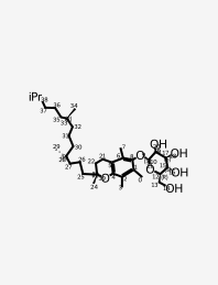 Cc1c(C)c2c(c(C)c1O[C@@H]1O[C@H](CO)[C@@H](O)[C@H](O)[C@H]1O)CC[C@@](C)(CCC[C@H](C)CCC[C@H](C)CCCC(C)C)O2